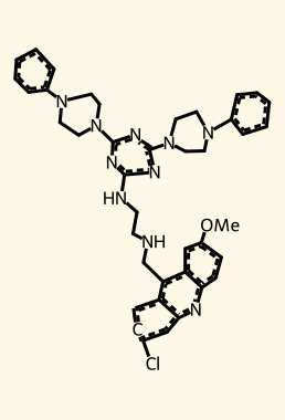 COc1ccc2nc3cc(Cl)ccc3c(CNCCNc3nc(N4CCN(c5ccccc5)CC4)nc(N4CCN(c5ccccc5)CC4)n3)c2c1